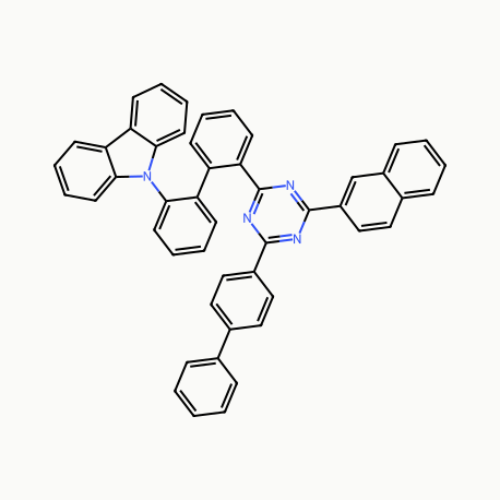 c1ccc(-c2ccc(-c3nc(-c4ccc5ccccc5c4)nc(-c4ccccc4-c4ccccc4-n4c5ccccc5c5ccccc54)n3)cc2)cc1